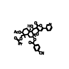 CC(=O)O[C@H]1CC[C@@]2(C)C(C[C@H](OC(=O)c3ccc(C#N)cc3)[C@@]3(C)Oc4cc(-c5cccnc5)oc(=O)c4[C@H](O)C23)C1(C)COC(=O)C(C)C